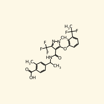 Cc1cc(C(C)NC(=O)c2c(C(F)(F)F)nn(C)c2Oc2cccc(C(C)(F)F)c2)ccc1C(=O)O